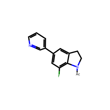 CC(=O)N1CCc2cc(-c3cccnc3)cc(F)c21